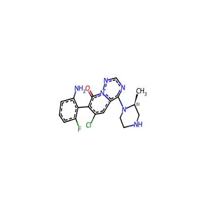 C[C@H]1CNCCN1c1ncnn2c(=O)c(-c3c(N)cccc3F)c(Cl)cc12